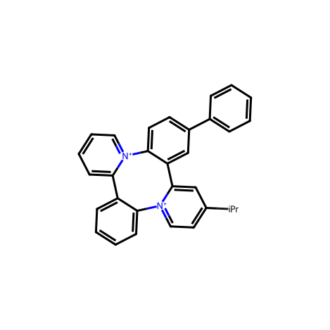 CC(C)c1cc[n+]2c(c1)-c1cc(-c3ccccc3)ccc1-[n+]1ccccc1-c1ccccc1-2